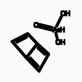 O=[AsH](O)O.c1cc2ccc1-2